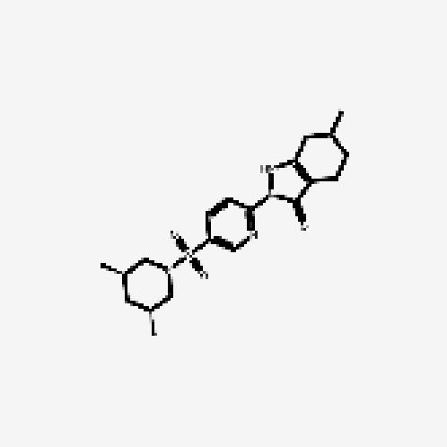 CC1CCc2c([nH]n(-c3ccc(S(=O)(=O)N4C[C@H](C)C[C@H](C)C4)cn3)c2=O)C1